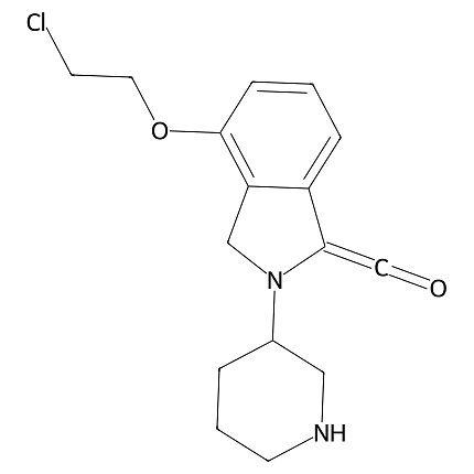 O=C=C1c2cccc(OCCCl)c2CN1C1CCCNC1